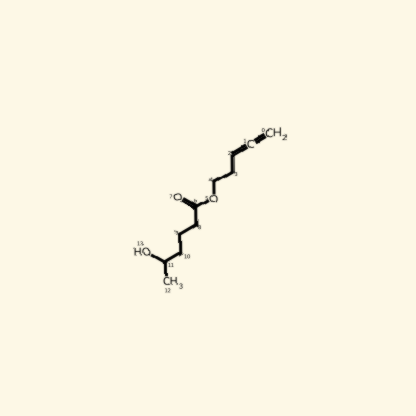 C=C=CCCOC(=O)CCCC(C)O